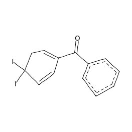 O=C(C1=CCC(I)(I)C=C1)c1ccccc1